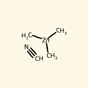 C#N.[CH3][Zn]([CH3])[CH3]